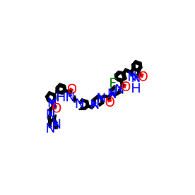 O=C(NCCN1CCC(CN2CCN(CC(=O)N3CCN(C(=O)c4cc(Cc5n[nH]c(=O)c6ccccc56)ccc4F)CC3)CC2)CC1)c1cccc([C@H]2CCCN(C(=O)CN3Cc4cncnc4C3)C2)c1